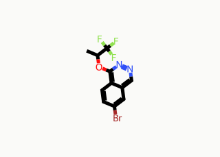 CC(Oc1nncc2cc(Br)ccc12)C(F)(F)F